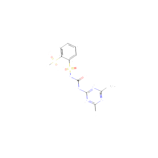 COc1nc(C)nc(NC(=O)NS(=O)(=O)c2ccccc2S(C)(=O)=O)n1